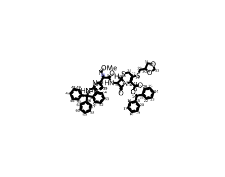 CO/N=C(\C(=O)NC1C(=O)N2C(C(=O)OC(c3ccccc3)c3ccccc3)=C(SCC3COCO3)CS[C@@H]12)c1csc(NC(c2ccccc2)(c2ccccc2)c2ccccc2)n1